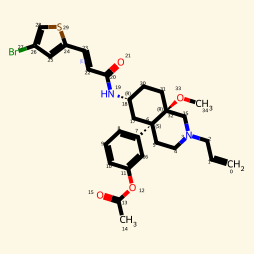 C=CCN1CC[C@@]2(c3cccc(OC(C)=O)c3)C[C@H](NC(=O)/C=C/c3cc(Br)cs3)CC[C@]2(OC)C1